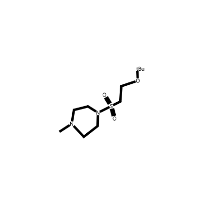 CN1CCN(S(=O)(=O)CCOC(C)(C)C)CC1